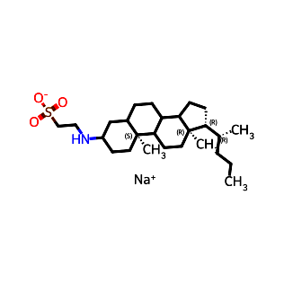 CCC[C@@H](C)[C@H]1CCC2C3CCC4CC(NCCS(=O)(=O)[O-])CC[C@]4(C)C3CC[C@@]21C.[Na+]